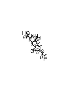 N[C@@H](CC(Cc1ccc(OCC[18F])c[n+]1[O-])C(=O)O)C(=O)O